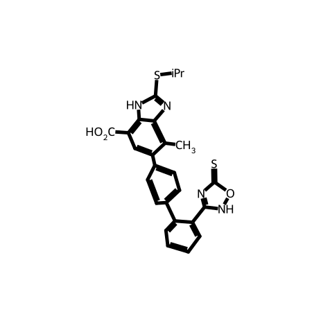 Cc1c(-c2ccc(-c3ccccc3-c3nc(=S)o[nH]3)cc2)cc(C(=O)O)c2[nH]c(SC(C)C)nc12